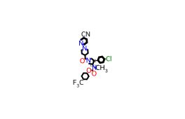 CN(C(=O)OC1CCC(C(F)(F)F)CC1)[C@@H]1CN(C(=O)C2CCN(c3ccc(C#N)cn3)CC2)C[C@H]1c1ccc(Cl)cc1